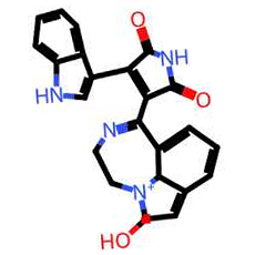 O=C1NC(=O)C(c2c[nH]c3ccccc23)=C1C1=NCC[N+]2(CO)CC=C3C=CC=C1C32